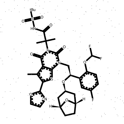 Cc1c(-c2ncco2)sc2c1c(=O)n(C(C)(C)C(=O)NS(=O)(=O)C(C)(C)C)c(=O)n2C[C@H](O[C@@H]1C[C@H]2CC[C@@H](C1)O2)c1cc(F)ccc1OC(F)F